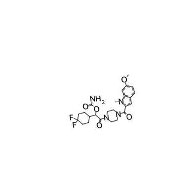 COc1ccc2cc(C(=O)N3CCN(C(=O)C(OC(N)=O)C4CCC(F)(F)CC4)CC3)n(C)c2c1